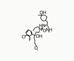 CNCC(CC1CCC(C)(O)CC1)NC(=O)N1CCC[C@@H]([C@@](O)(CCCCOC)c2cccc(Cl)c2F)C1